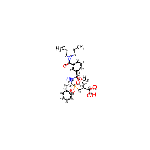 CCCN(CCC)C(=O)c1cccc(C(=O)N[C@@H](Cc2ccccc2)P(=O)(O)CC(C)C(=O)O)c1